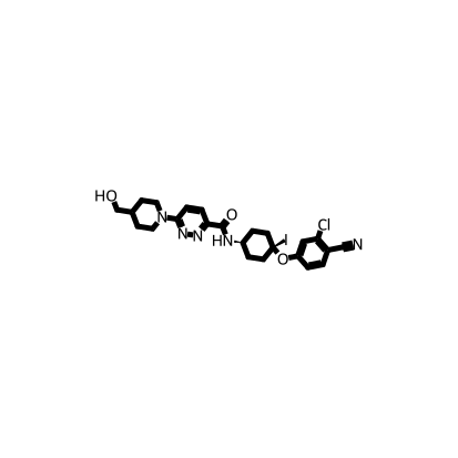 N#Cc1ccc(O[C@]2(I)CC[C@H](NC(=O)c3ccc(N4CCC(CO)CC4)nn3)CC2)cc1Cl